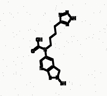 O=C(O)N(CCCCc1nn[nH]n1)c1cnc2c(c1)CN(S)S2